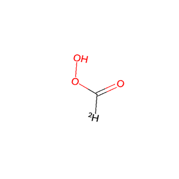 [2H]C(=O)OO